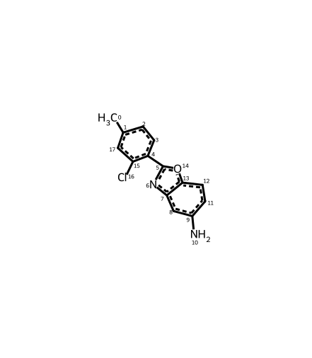 Cc1ccc(-c2nc3cc(N)ccc3o2)c(Cl)c1